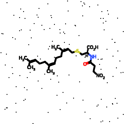 CC(C)=CCCC(C)=CCCC(C)=CCSC[C@H](NC(=O)CC[N+](=O)[O-])C(=O)O